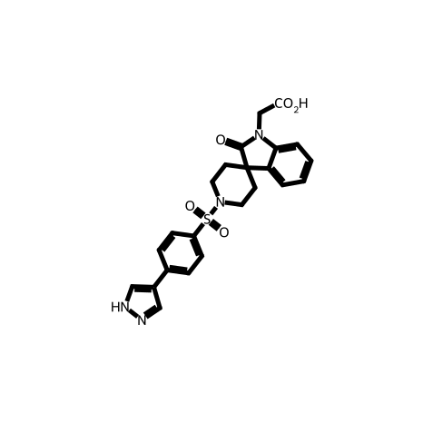 O=C(O)CN1C(=O)C2(CCN(S(=O)(=O)c3ccc(-c4cn[nH]c4)cc3)CC2)c2ccccc21